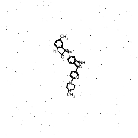 Cc1ccc2c(c1)[C@]1(C[C@@H]1c1ccc3c(-c4ccc(N5CCN(C)CC5)nc4)n[nH]c3c1)C(=O)N2